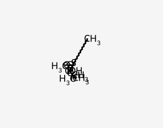 CCCCCCCCCCCCCCCCSCC(COP(=O)(O)OCC[N+](C)(C)C)OCOC